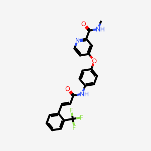 CNC(=O)c1cc(Oc2ccc(NC(=O)C=Cc3ccccc3C(F)(F)F)cc2)ccn1